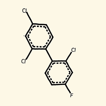 Fc1ccc(-c2ccc(Cl)[c]c2Cl)c(Cl)c1